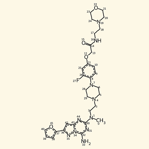 CN(CCN1CCN(c2ccc(OCC(=O)NCCN3CCOCC3)cc2F)CC1)c1nc(N)n2nc(-c3ccco3)cc2n1